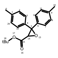 Cc1ccc(C2(c3ccc(C)cc3)OC2C(=O)OC(C)(C)C)cc1